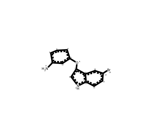 Nc1cccc(Oc2c[nH]c3ccc(Br)cc23)c1